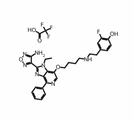 CCn1c(-c2nonc2N)nc2c(-c3ccccc3)ncc(OCCCCNCCc3ccc(O)c(F)c3)c21.O=C(O)C(F)(F)F